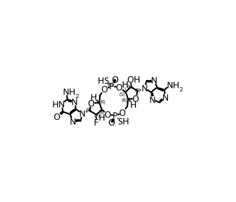 Nc1nc2c(ncn2[C@@H]2O[C@@H]3CO[P@@](=O)(S)O[C@H]4[C@@H](O)[C@H](n5cnc6c(N)ncnc65)O[C@@H]4COP(=O)(S)O[C@H]3[C@H]2F)c(=O)[nH]1